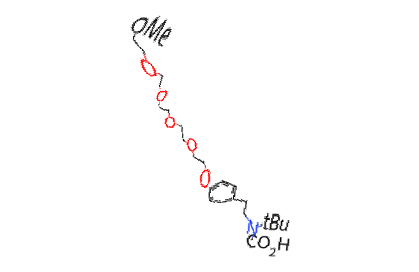 COCCOCCOCCOCCOCCOc1ccc(CCN(C(=O)O)C(C)(C)C)cc1